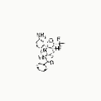 CC(F)(F)[C@H]1OC[C@]2(c3cc(N)ccc3F)N=C(NC(=O)c3ccccc3)SC[C@H]12